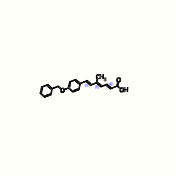 CC(/C=C/c1ccc(OCc2ccccc2)cc1)=C\C=C\C(=O)O